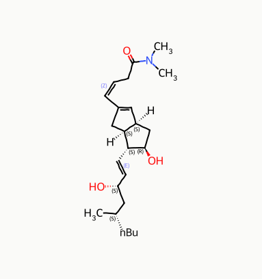 CCCC[C@H](C)C[C@H](O)/C=C/[C@@H]1[C@H]2CC(/C=C\CC(=O)N(C)C)=C[C@H]2C[C@H]1O